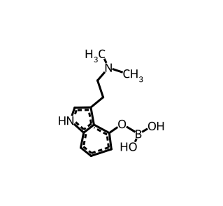 CN(C)CCc1c[nH]c2cccc(OB(O)O)c12